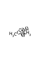 CC[C]1([Zr+2][C]2=CC=CC2)C=Cc2cc(C)ccc21.[Cl-].[Cl-]